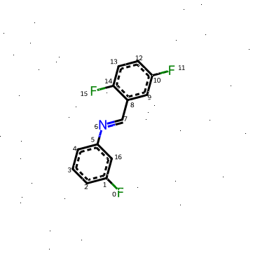 Fc1cccc(N=Cc2cc(F)ccc2F)c1